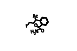 CC(=O)C(CCF)c1ccccc1S(N)(=O)=O